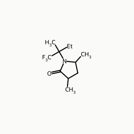 CCC(C)(N1C(=O)C(C)CC1C)C(F)(F)F